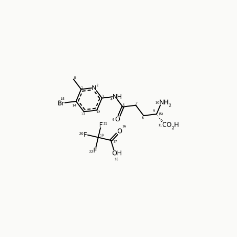 Cc1nc(NC(=O)CC[C@H](N)C(=O)O)ccc1Br.O=C(O)C(F)(F)F